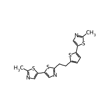 Cc1ncc(-c2ccc(CCc3ncc(-c4cnc(C)s4)s3)s2)s1